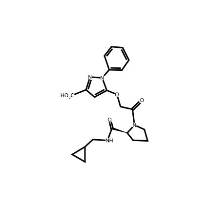 O=C(O)c1cc(OCC(=O)N2CCC[C@H]2C(=O)NCC2CC2)n(-c2ccccc2)n1